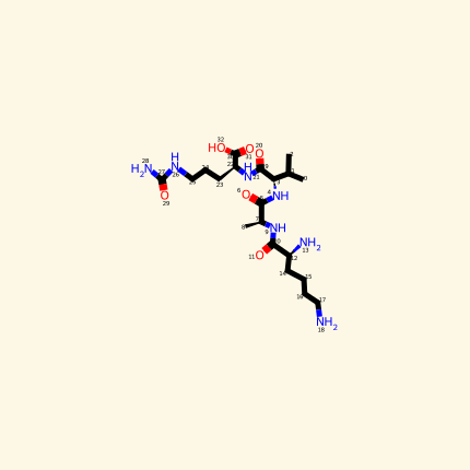 CC(C)[C@H](NC(=O)[C@H](C)NC(=O)[C@@H](N)CCCCN)C(=O)N[C@@H](CCCNC(N)=O)C(=O)O